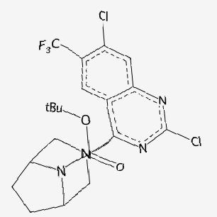 CC(C)(C)OC(=O)N1C2CCC1CN(c1nc(Cl)nc3cc(Cl)c(C(F)(F)F)cc13)C2